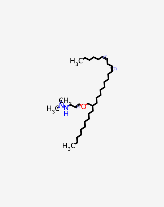 CCCCC/C=C\C/C=C\CCCCCCCCC(CCCCCCCCCC)CO/C=C/CNN(C)C